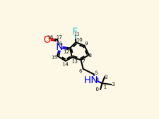 CC(C)(C)NCCc1ccc(F)c2c1ccn2C=O